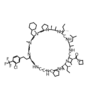 CC[C@H](C)[C@H]1C(C)NC2(CCCC2)CNCCNC=CC(CCc2ccc(C(F)(F)F)c(Cl)c2)=NC=CN(C)C=C(CC2CCCCC2)N(C)C=C2CCCN2[C@@H](C)C(C)N[C@@H]([C@@H](C)CC)CN[C@@H](CC(C)C)C(C)NCC2[C@@H](C(=O)N3CCC3)C(C)N21